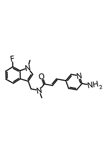 CN(Cc1cn(C)c2c(F)cccc12)C(=O)C=Cc1ccc(N)nc1